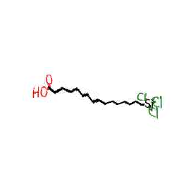 O=C(O)CCCCCCCCCCCCCCC[Si](Cl)(Cl)Cl